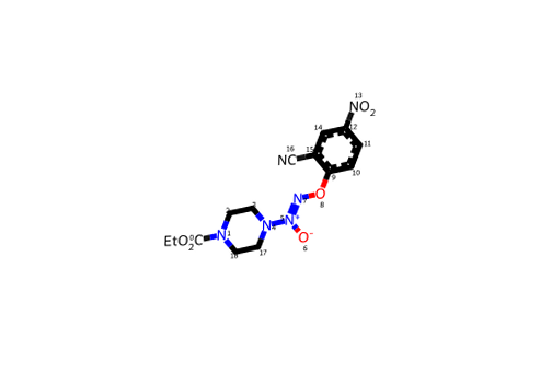 CCOC(=O)N1CCN(/[N+]([O-])=N/Oc2ccc([N+](=O)[O-])cc2C#N)CC1